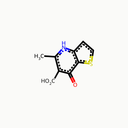 Cc1[nH]c2ccsc2c(=O)c1C(=O)O